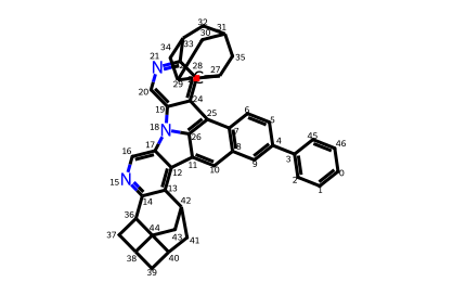 c1ccc(-c2ccc3c(c2)cc2c4c5c(ncc4n4c6cnc7c(c6c3c24)C2CC3CC(CC7C3)C2)C2CC3CC4CC5CC432)cc1